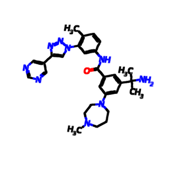 Cc1ccc(NC(=O)c2cc(N3CCCN(C)CC3)cc(C(C)(C)N)c2)cc1-n1cc(-c2cncnc2)nn1